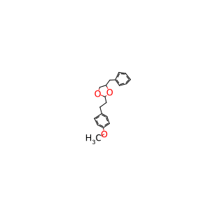 COc1ccc(CCC2OCC(Cc3ccccc3)O2)cc1